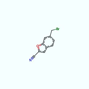 N#Cc1cc2ccc(CBr)cc2o1